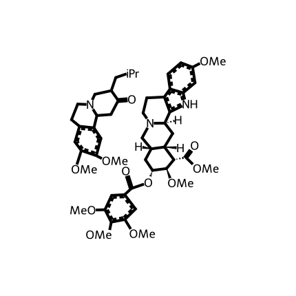 COC(=O)[C@H]1[C@H]2C[C@@H]3c4[nH]c5cc(OC)ccc5c4CCN3C[C@H]2C[C@@H](OC(=O)c2cc(OC)c(OC)c(OC)c2)[C@@H]1OC.COc1cc2c(cc1OC)C1CC(=O)C(CC(C)C)CN1CC2